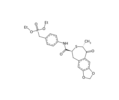 CCOP(=O)(Cc1ccc(NC(=O)[C@@H]2Cc3cc4c(cc3C(=O)[C@@H](C)S2)OCO4)cc1)OCC